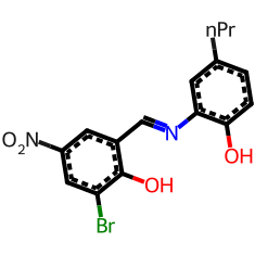 CCCc1ccc(O)c(/N=C/c2cc([N+](=O)[O-])cc(Br)c2O)c1